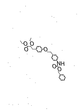 CCOC(=O)C(Cc1ccc(OCCc2ccc(NC(=O)OCc3ccccc3)cc2)cc1)OCC